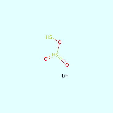 O=[SH](=O)OS.[LiH]